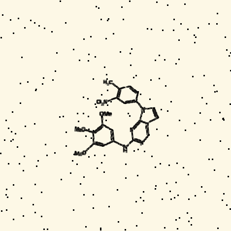 COc1cc(Nc2ncc3ccn(-c4ccc(C)c([N+](=O)[O-])c4)c3n2)cc(OC)c1OC